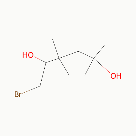 CC(C)(O)CC(C)(C)C(O)CBr